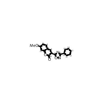 COc1ccc2cc(-c3nc(-c4ccccc4)no3)c(=O)oc2c1